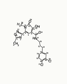 Cc1nc(-c2cc(C(=O)NCCCc3ccc(Cl)c(Cl)c3)c(O)c(=O)n2C)no1